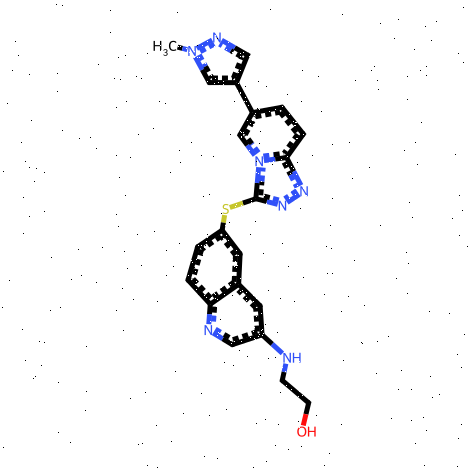 Cn1cc(-c2ccc3nnc(Sc4ccc5ncc(NCCO)cc5c4)n3c2)cn1